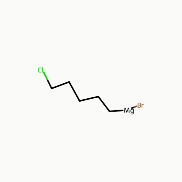 ClCCCC[CH2][Mg][Br]